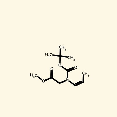 C/C=C\N(CC(=O)OC)C(=O)OC(C)(C)C